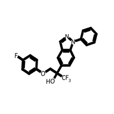 OC(COc1ccc(F)cc1)(c1ccc2c(cnn2-c2ccccc2)c1)C(F)(F)F